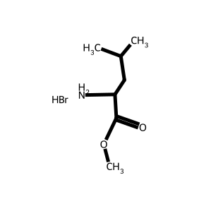 Br.COC(=O)C(N)CC(C)C